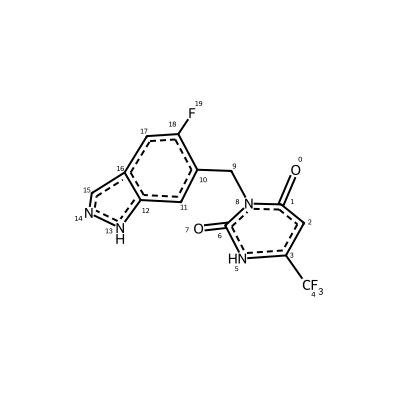 O=c1cc(C(F)(F)F)[nH]c(=O)n1Cc1cc2[nH]ncc2cc1F